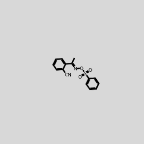 C/C(=N\OS(=O)(=O)c1ccccc1)c1ccccc1C#N